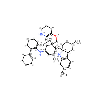 COCC1=C(OCC2(C)CC(NC3=C(C4=CCCCC4)CCCC3)=CC(C)(N3C4=C(C=CC(C)C4)C4CC(C)CCC43C)C2)CCCN1